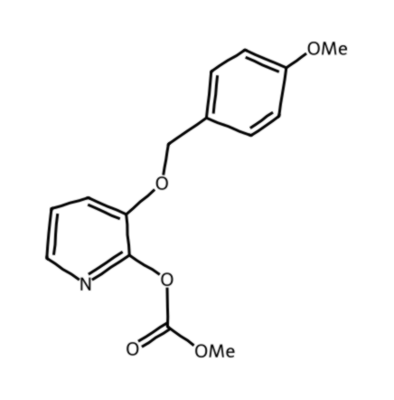 COC(=O)Oc1ncccc1OCc1ccc(OC)cc1